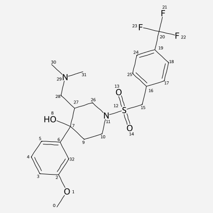 COc1cccc(C2(O)CCN(S(=O)(=O)Cc3ccc(C(F)(F)F)cc3)CC2CN(C)C)c1